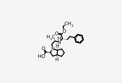 CCOC(=O)[C@H](CCc1ccccc1)N[C@@H](C)CN1[C@H](C(=O)O)C[C@@H]2CCC[C@@H]21